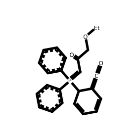 CCOCC(=O)C=P(c1ccccc1)(c1ccccc1)C1C=CC=CC1=C=O